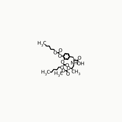 CCCCCOC(=O)Oc1ccc(C[C@H](NCC(C)OC(=O)OC)C(=O)O)cc1OC(=O)OCCCCC